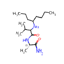 CCCCC(CCC)NC(C(=O)N[C@@H](C)C(N)=O)C(C)C